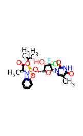 Cc1cn([C@@H]2O[C@H](CO[P@](=S)(N[C@@H](C)C(=O)OC(C)C)Oc3ccccc3)[C@@H](O)[C@@]2(F)Cl)c(=O)[nH]c1=O